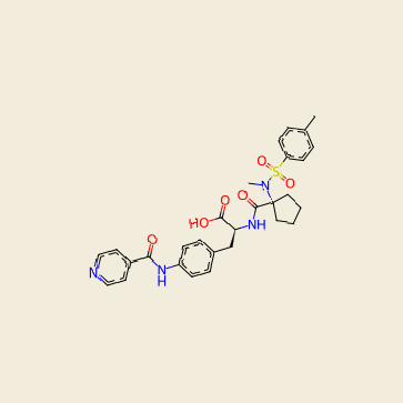 Cc1ccc(S(=O)(=O)N(C)C2(C(=O)N[C@@H](Cc3ccc(NC(=O)c4ccncc4)cc3)C(=O)O)CCCC2)cc1